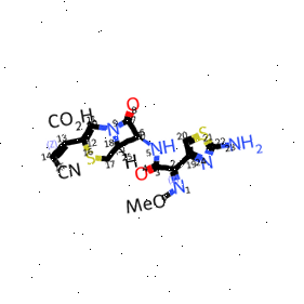 CO/N=C(\C(=O)N[C@@H]1C(=O)N2C(C(=O)O)=C(/C=C\C#N)SC[C@H]12)c1csc(N)n1